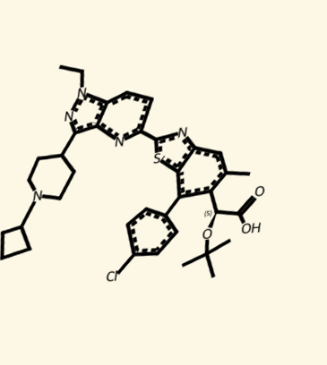 CCn1nc(C2CCN(C3CCC3)CC2)c2nc(-c3nc4cc(C)c([C@H](OC(C)(C)C)C(=O)O)c(-c5ccc(Cl)cc5)c4s3)ccc21